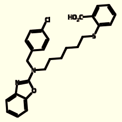 O=C(O)c1ccccc1SCCCCCCN(Cc1ccc(Cl)cc1)c1nc2ccccc2o1